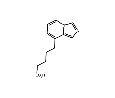 O=C(O)CCCCc1cccn2cncc12